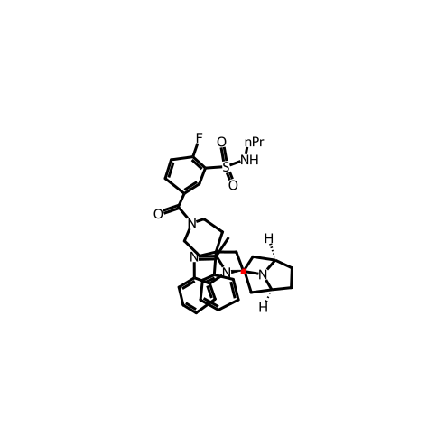 CCCNS(=O)(=O)c1cc(C(=O)N2CCC(CCN3[C@@H]4CC[C@H]3C[C@@H](n3c(C)nc5ccccc53)C4)(c3ccccc3)CC2)ccc1F